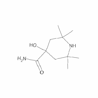 CC1(C)CC(O)(C(N)=O)CC(C)(C)N1